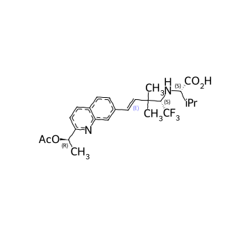 CC(=O)O[C@H](C)c1ccc2ccc(/C=C/C(C)(C)[C@H](N[C@H](C(=O)O)C(C)C)C(F)(F)F)cc2n1